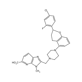 Cn1c(CN2CCN(c3cccc4c3CCC(c3ccc(Cl)cc3F)O4)CC2)nc2ccc(C(=O)O)nc21